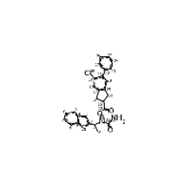 CC(c1cc2ccccc2s1)N(OC(=O)C1Cc2cc(Cl)c(-c3ccccc3)cc2C1)C(N)=O